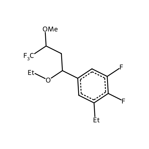 CCOC(CC(OC)C(F)(F)F)c1cc(F)c(F)c(CC)c1